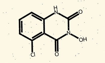 O=c1[nH]c2cccc(Cl)c2c(=O)n1O